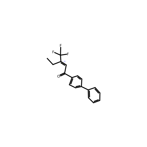 CC/C(=C\C(=O)c1ccc(-c2ccccc2)cc1)C(F)(F)F